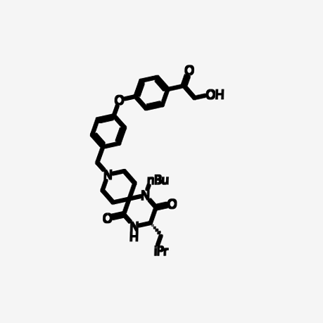 CCCCN1C(=O)[C@H](CC(C)C)NC(=O)C12CCN(Cc1ccc(Oc3ccc(C(=O)CO)cc3)cc1)CC2